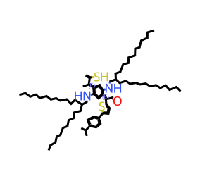 C=C(S)/C(C)=c1\cc(NCC(CCCCCCCCCCCC)CCCCCCCCCCCCC)/c(=C(\C=O)c2ccc(-c3ccc(C(C)C)cc3)s2)cc1NCC(CCCCCCCCCCC)CCCCCCCCCCCC